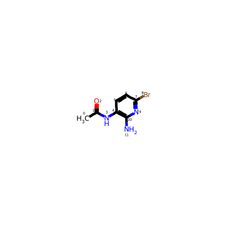 CC(=O)Nc1ccc(Br)nc1N